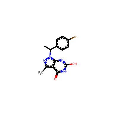 CC(c1ccc(S)cc1)n1nc(C(F)(F)F)c2c(=O)[nH]c(O)nc21